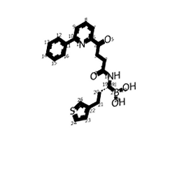 O=C(CCC(=O)c1cccc(-c2ccccc2)n1)N[C@@H](CCc1ccsc1)B(O)O